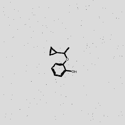 CC(Oc1ccccc1O)C1CC1